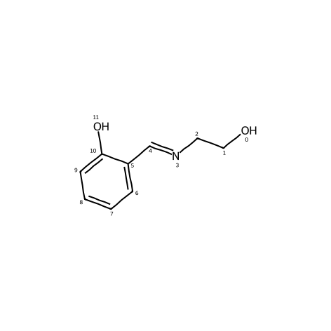 OCCN=Cc1ccccc1O